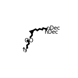 CCCCCCCCCCC(CCCCCCCCCC)CCCCCC1CC1CCOC(=O)CCCN(C)C